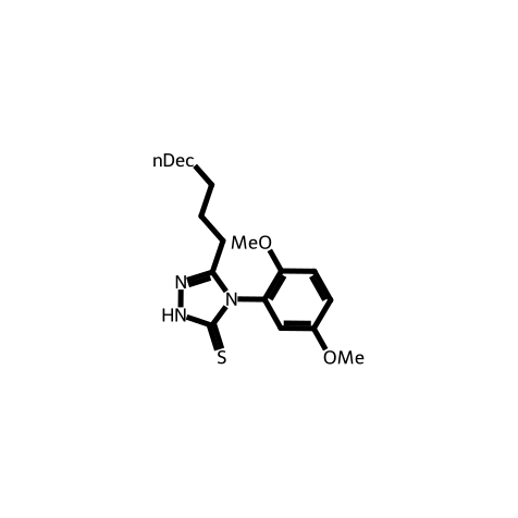 CCCCCCCCCCCCCc1n[nH]c(=S)n1-c1cc(OC)ccc1OC